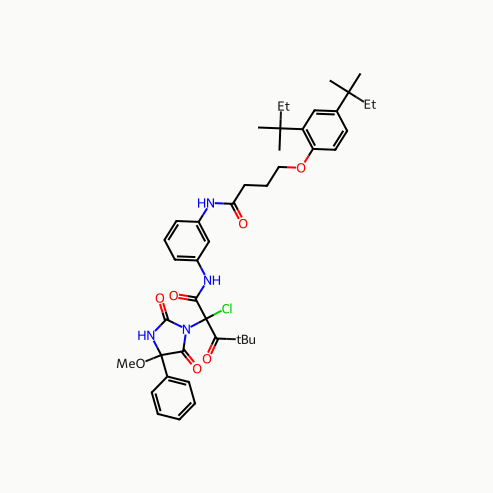 CCC(C)(C)c1ccc(OCCCC(=O)Nc2cccc(NC(=O)C(Cl)(C(=O)C(C)(C)C)N3C(=O)NC(OC)(c4ccccc4)C3=O)c2)c(C(C)(C)CC)c1